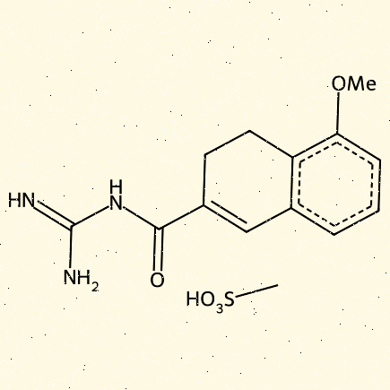 COc1cccc2c1CCC(C(=O)NC(=N)N)=C2.CS(=O)(=O)O